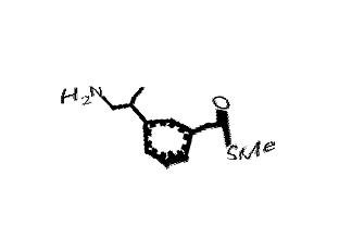 CSC(=O)c1cccc(C(C)CN)c1